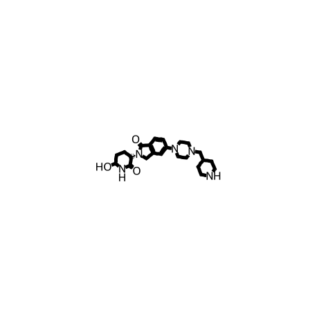 O=C1NC(O)CC[C@@H]1N1Cc2cc(N3CCN(CC4CCNCC4)CC3)ccc2C1=O